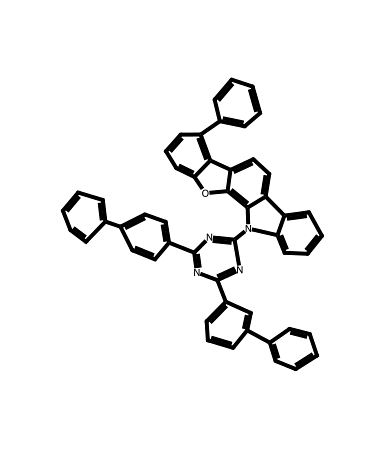 c1ccc(-c2ccc(-c3nc(-c4cccc(-c5ccccc5)c4)nc(-n4c5ccccc5c5ccc6c(oc7cccc(-c8ccccc8)c76)c54)n3)cc2)cc1